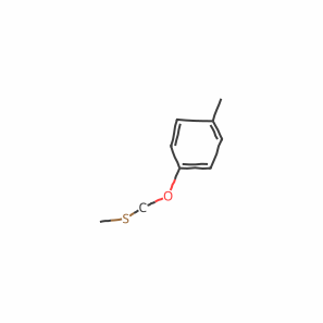 CSCOc1ccc(C)cc1